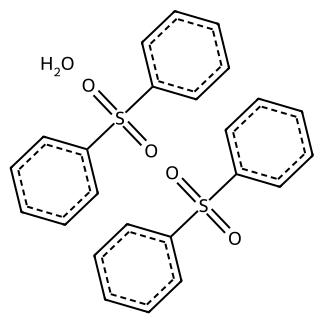 O.O=S(=O)(c1ccccc1)c1ccccc1.O=S(=O)(c1ccccc1)c1ccccc1